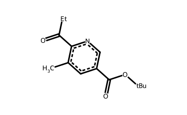 CCC(=O)c1ncc(C(=O)OC(C)(C)C)cc1C